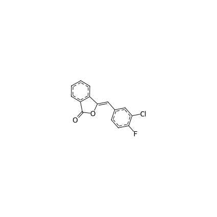 O=C1OC(=Cc2ccc(F)c(Cl)c2)c2ccccc21